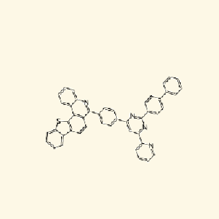 c1ccc(-c2ccc(-c3nc(-c4ccc(-c5nc6ccccc6c6c5ccc5c7ccccc7sc56)cc4)cc(-c4ccccn4)n3)cc2)cc1